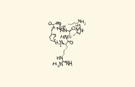 CC(C)C(=O)[C@H](Cc1ccccc1)NC(=O)[C@H](CCCCN)NC(=O)[C@H](Cc1cn(C)c(=S)[nH]1)NC(=O)C(N)CCCNC(=N)N